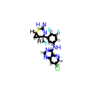 NC1=N[C@](CF)(c2cc(Nc3ncnc4cc(Cl)cnc34)cc(F)c2F)[C@@H]2C[C@@H]2S1